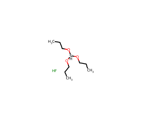 CCCO[SiH](OCCC)OCCC.F